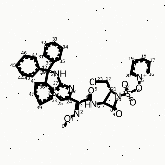 CON=C(C(=O)NC1C(=O)N(S(=O)(=O)O[n+]2ccccc2)C1CCl)c1csc(NC(c2ccccc2)(c2ccccc2)c2ccccc2)n1